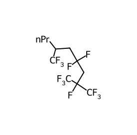 CCCC(CC(F)(F)CC(F)(C(F)(F)F)C(F)(F)F)C(F)(F)F